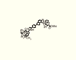 COC(=O)N[C@H](C(=O)N1C(c2ncc(-c3ccc(-c4ccc5c(ccc6nc([C@@H]7CCCN7C(=O)[C@@H](NC(=O)OC)C(C)C)[nH]c65)c4)cc3)[nH]2)CC2C[Si](C)(C)CC21)C(C)C